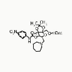 CCCCCCCCCCOC[C@@]12O[C@@H](CN3CCCCCC3)[C@@H](OC(=O)Nc3ccc([N+](=O)[O-])cc3)[C@@H]1OC(C)(C)O2